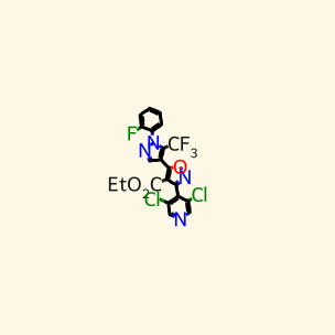 CCOC(=O)c1c(-c2c(Cl)cncc2Cl)noc1-c1cnn(-c2ccccc2F)c1C(F)(F)F